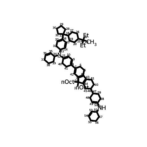 CCCCCCCCC1(CCCCCCCC)C2=C(CCC(C3=CC=C(N(C4C=CC(C5(C6CCC(C(C)(CC)CC)CC6)CCCC5)=CC4)C4C=CCCC4)CC3)=C2)C2=C1CC(C1CC=C(NC3C=CCCC3)CC1)CC2